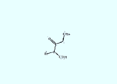 CCC(C(=O)O)C(=O)COC